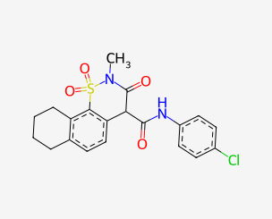 CN1C(=O)C(C(=O)Nc2ccc(Cl)cc2)c2ccc3c(c2S1(=O)=O)CCCC3